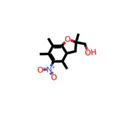 CC1=C2OC(C)(CO)CC2C(C)C([N+](=O)[O-])=C1C